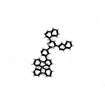 c1cc(-c2nc(-c3ccc4ccccc4c3)cc(-c3cccc4ccccc34)n2)cc(-c2cccc3c2-c2ccccc2C32c3ccccc3-c3ccccc32)c1